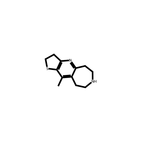 Cc1c2c(nc3c1SCC3)CCNCC2